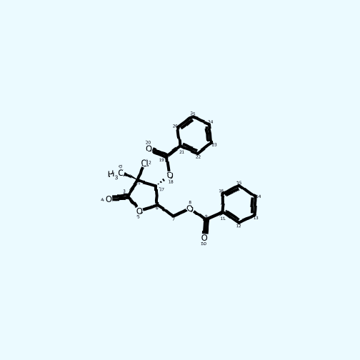 C[C@]1(Cl)C(=O)OC(COC(=O)c2ccccc2)[C@H]1OC(=O)c1ccccc1